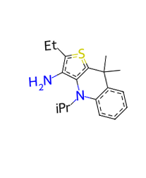 CCc1sc2c(c1N)N(C(C)C)c1ccccc1C2(C)C